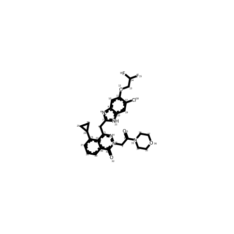 O=C(Cn1nc(Cc2nc3cc(OCC(F)F)c(Cl)cc3[nH]2)c2c(C3CC3)cccc2c1=O)N1CCOCC1